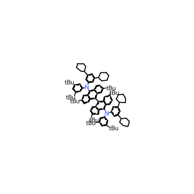 CC(C)(C)c1cc(N(c2cc(C3CCCCC3)cc(C3CCCCC3)c2)c2c3ccc(C(C)(C)C)cc3c(-c3c4cc(C(C)(C)C)ccc4c(N(c4cc(C5CCCCC5)cc(C5CCCCC5)c4)c4cc(C(C)(C)C)cc(C(C)(C)C)c4)c4cc(C(C)(C)C)ccc34)c3ccc(C(C)(C)C)cc23)cc(C(C)(C)C)c1